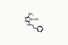 Cl.Nc1nnc(NCCc2ccccc2)[nH]1